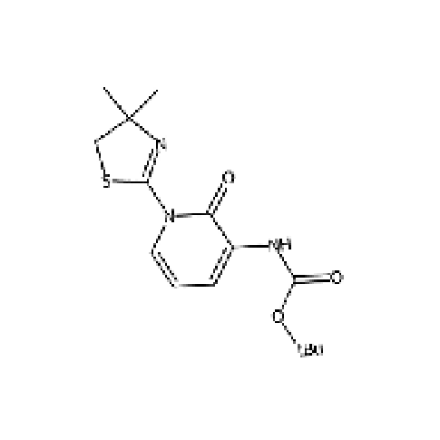 CC1(C)CSC(n2cccc(NC(=O)OC(C)(C)C)c2=O)=N1